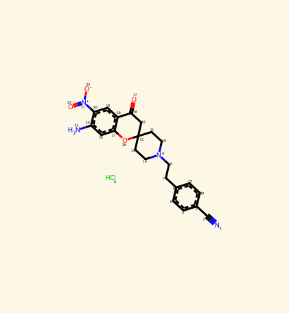 Cl.N#Cc1ccc(CCN2CCC3(CC2)CC(=O)c2cc([N+](=O)[O-])c(N)cc2O3)cc1